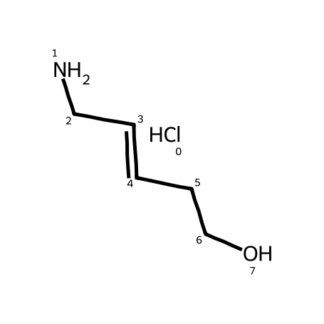 Cl.NCC=CCCO